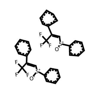 [O-][S+](C=C(c1ccccc1)C(F)(F)F)c1ccccc1.[O-][S+](C=C(c1ccccc1)C(F)(F)F)c1ccccc1